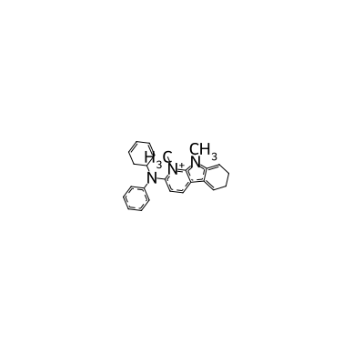 Cn1c2c(c3ccc(N(c4ccccc4)C4C=CC=CC4)[n+](C)c31)=CCCC=2